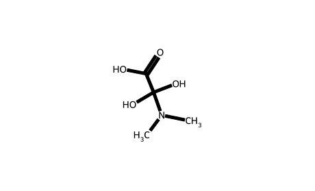 CN(C)C(O)(O)C(=O)O